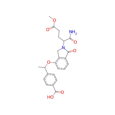 COC(=O)CCC(C(N)=O)N1Cc2c(OC(C)c3ccc(C(=O)O)cc3)cccc2C1=O